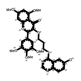 COc1cc(OC)c2c(=O)c(OCCCSc3ncnc4ccc(Cl)cc34)c(-c3cc(OC)c(OC)c(OC)c3)oc2c1